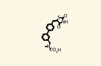 CN(Cc1cccc(-c2ccc(C=C3SC(=O)NC3=O)cc2)c1)C(=O)O